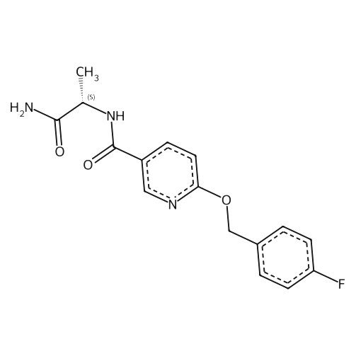 C[C@H](NC(=O)c1ccc(OCc2ccc(F)cc2)nc1)C(N)=O